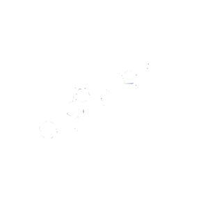 CCc1c(C(=O)O)nc2n1CCN(C(=O)c1cnn3ccc(N4CCCC4c4cc(F)ccc4F)cc13)C2